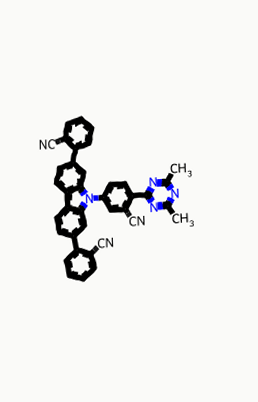 Cc1nc(C)nc(-c2ccc(-n3c4cc(-c5ccccc5C#N)ccc4c4ccc(-c5ccccc5C#N)cc43)cc2C#N)n1